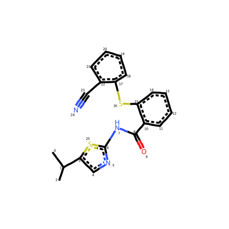 CC(C)c1cnc(NC(=O)c2ccccc2Sc2ccccc2C#N)s1